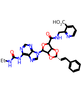 CCNC(=O)Nc1ncnc2c1ncn2C1OC(C(=O)NCc2ncccc2C(=O)O)C2O[C@H](/C=C/c3ccccc3)OC21